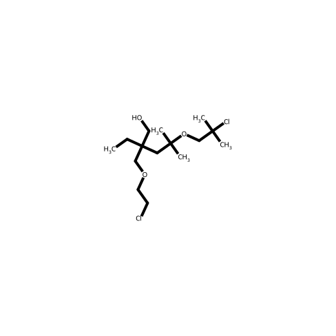 CCC(CO)(COCCCl)CC(C)(C)OCC(C)(C)Cl